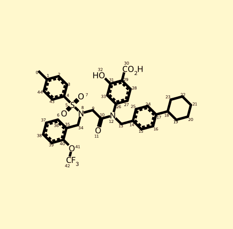 Cc1ccc(S(=O)(=O)N(CC(=O)N(Cc2ccc(C3CCCCC3)cc2)c2ccc(C(=O)O)c(O)c2)Cc2ccccc2OC(F)(F)F)cc1